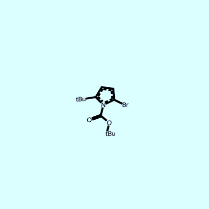 CC(C)(C)OC(=O)n1c(Br)ccc1C(C)(C)C